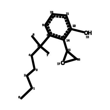 CCCCCC(C)(C)c1cccc(O)c1C1CO1